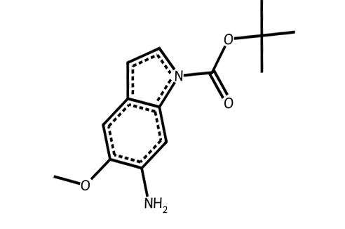 COc1cc2ccn(C(=O)OC(C)(C)C)c2cc1N